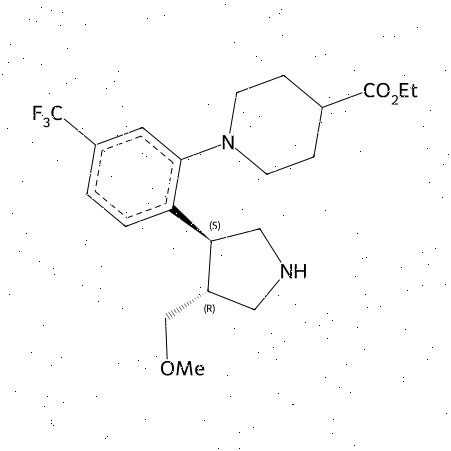 CCOC(=O)C1CCN(c2cc(C(F)(F)F)ccc2[C@H]2CNC[C@@H]2COC)CC1